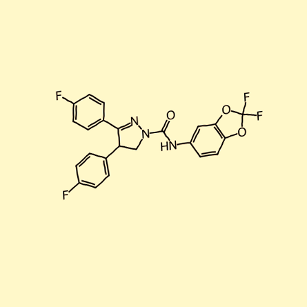 O=C(Nc1ccc2c(c1)OC(F)(F)O2)N1CC(c2ccc(F)cc2)C(c2ccc(F)cc2)=N1